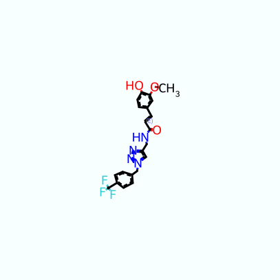 COc1cc(/C=C/C(=O)NCc2cn(Cc3ccc(C(F)(F)F)cc3)nn2)ccc1O